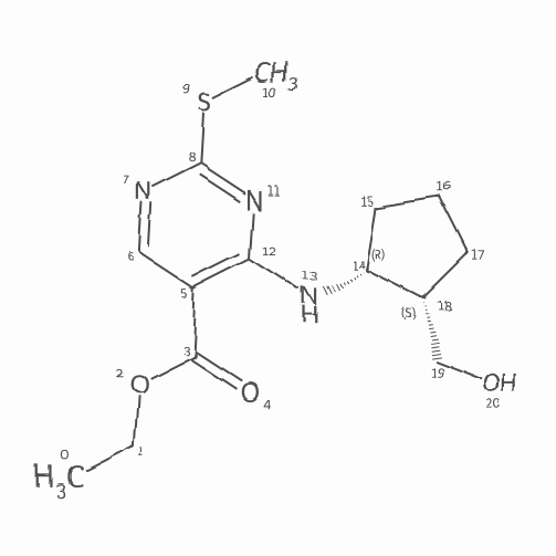 CCOC(=O)c1cnc(SC)nc1N[C@@H]1CCC[C@@H]1CO